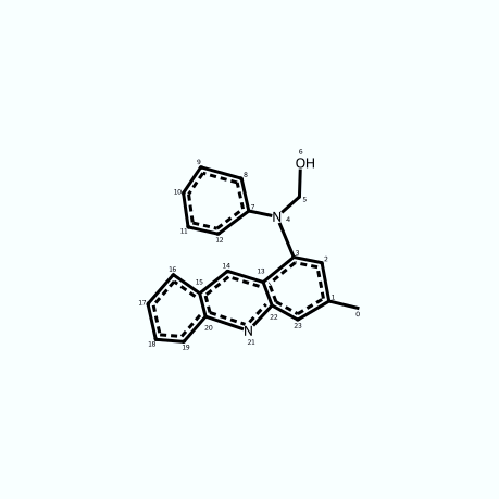 Cc1cc(N(CO)c2ccccc2)c2cc3ccccc3nc2c1